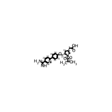 CN(C)S(=O)(=O)N1C[C@H](CC(=O)O)C[C@H]1COc1ccc(-c2ccc(C(=N)N)cn2)cc1